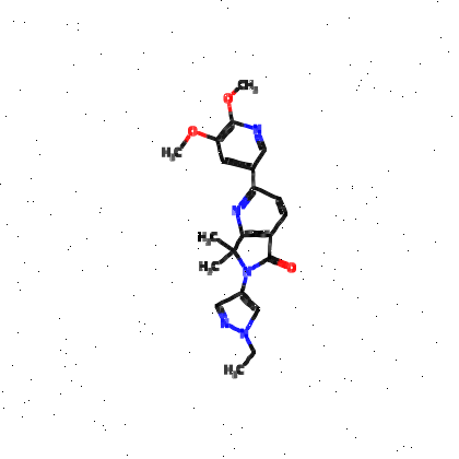 CCn1cc(N2C(=O)c3ccc(-c4cnc(OC)c(OC)c4)nc3C2(C)C)cn1